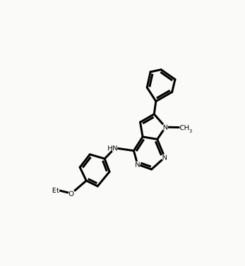 CCOc1ccc(Nc2ncnc3c2cc(-c2ccccc2)n3C)cc1